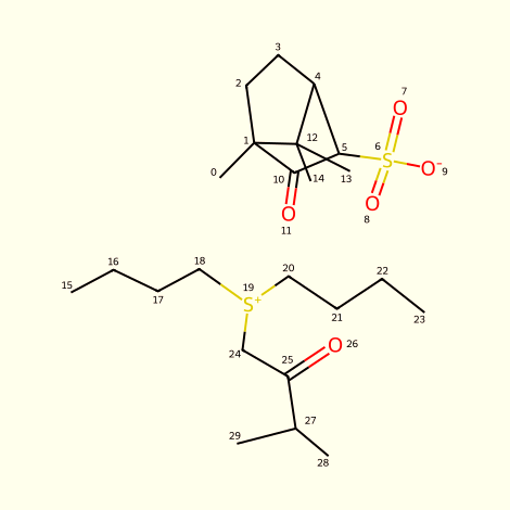 CC12CCC(C(S(=O)(=O)[O-])C1=O)C2(C)C.CCCC[S+](CCCC)CC(=O)C(C)C